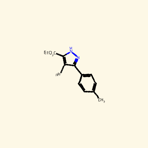 CCCc1c(-c2ccc(C)cc2)n[nH]c1C(=O)OCC